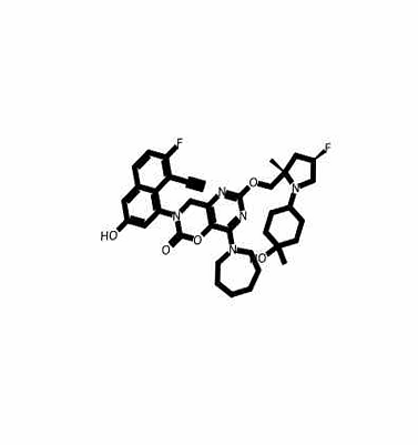 C#Cc1c(F)ccc2cc(O)cc(N3Cc4nc(OC[C@]5(C)C[C@@H](F)CN5C5CCC(C)(O)CC5)nc(N5CCCCCC5)c4OC3=O)c12